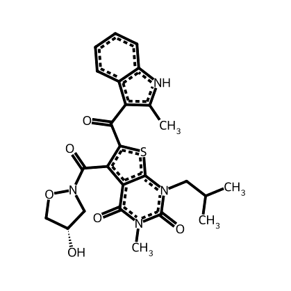 Cc1[nH]c2ccccc2c1C(=O)c1sc2c(c1C(=O)N1C[C@H](O)CO1)c(=O)n(C)c(=O)n2CC(C)C